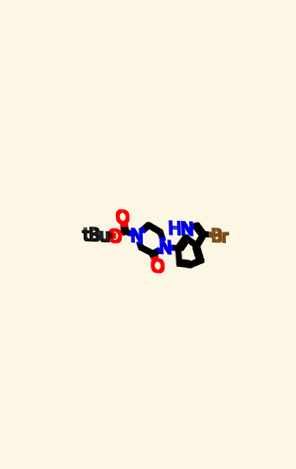 CC(C)(C)OC(=O)N1CCN(c2cccc3c(Br)c[nH]c23)C(=O)C1